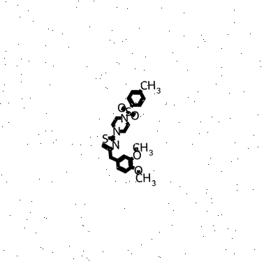 COc1ccc(Cc2csc(N3CCN(S(=O)(=O)c4ccc(C)cc4)CC3)n2)cc1OC